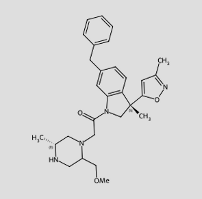 COCC1CN[C@H](C)CN1CC(=O)N1C[C@@](C)(c2cc(C)no2)c2ccc(Cc3ccccc3)cc21